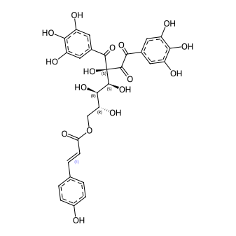 O=C(/C=C/c1ccc(O)cc1)OC[C@@H](O)[C@@H](O)[C@H](O)[C@@](O)(C(=O)C(=O)c1cc(O)c(O)c(O)c1)C(=O)c1cc(O)c(O)c(O)c1